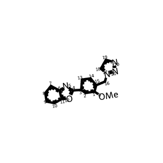 COc1cc(-c2nc3ccccc3o2)ccc1Cn1ccnn1